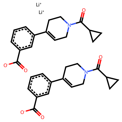 O=C([O-])c1cccc(C2=CCN(C(=O)C3CC3)CC2)c1.O=C([O-])c1cccc(C2=CCN(C(=O)C3CC3)CC2)c1.[Li+].[Li+]